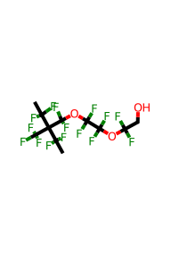 CC(F)(F)C(C(C)(F)F)(C(F)(F)F)C(F)(F)OC(F)(F)C(F)(F)OC(F)(F)CO